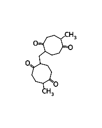 CC1CCC(=O)C(CC2CCC(=O)C(C)CCC2=O)CCC1=O